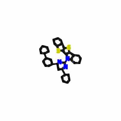 c1ccc(-c2cccc(-c3cc(-c4ccccc4)nc(-n4c5ccccc5c5sc6c7ccccc7sc6c54)n3)c2)cc1